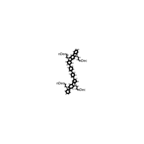 CCCCCCCCCCCCn1c2ccccc2c2cc3c(cc21)c1cc(-c2ccc(-c4ccc(-c5ccc6c(c5)c5cc7c(cc5n6CCCCCCCCCCCC)c5ccccc5n7CCCCCCCCCCCC)cc4)cc2)ccc1n3CCCCCCCCCCCC